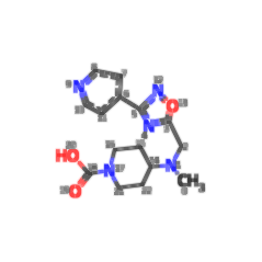 CN(Cc1nc(-c2ccncc2)no1)C1CCN(C(=O)O)CC1